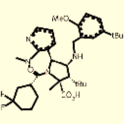 COc1ccc(C(C)(C)C)cc1CN[C@H]1[C@H](C(C)(C)C)[C@@](C)(C(=O)O)N(C(=O)[C@@H]2CCCC(F)(F)C2)[C@H]1c1cccnc1N(C)C